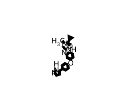 CN(Cc1nc2cc(Oc3ccc(-c4ccn[nH]4)cc3)ccc2[nH]1)C(=O)C1CC1